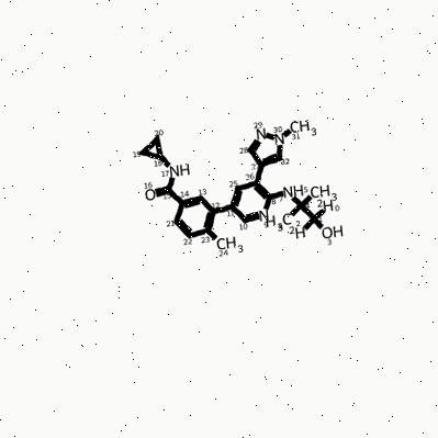 [2H]C([2H])(O)C(C)(C)Nc1ncc(-c2cc(C(=O)NC3CC3)ccc2C)cc1-c1cnn(C)c1